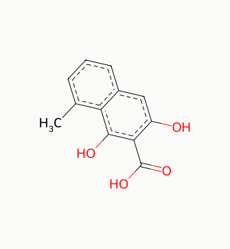 Cc1cccc2cc(O)c(C(=O)O)c(O)c12